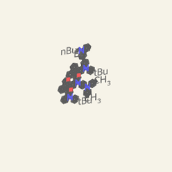 CCCCC(CC)Cn1c2ccccc2c2cc(-c3ccc4c(c3)c3cc(C5(c6ccc7c(c6)c6cc(C8(c9ccc%10c(c9)c9ccccc9n%10-c9ccc(C(C)(C)C)cc9)c9ccccc9-c9ccccc98)ccc6n7-c6ccc(N(c7ccc(C)cc7)c7ccc(C)cc7)cc6)c6ccccc6-c6ccccc65)ccc3n4-c3ccc(C(C)(C)C)cc3)ccc21